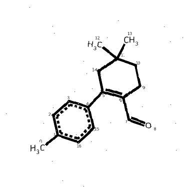 Cc1ccc(C2=C(C=O)CCC(C)(C)C2)cc1